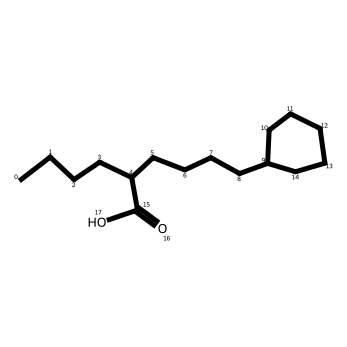 CCCCC(CCCCC1CCCCC1)C(=O)O